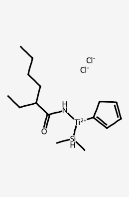 CCCCC(CC)C(=O)[NH][Ti+2]([C]1=CC=CC1)[SiH](C)C.[Cl-].[Cl-]